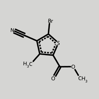 COC(=O)c1sc(Br)c(C#N)c1C